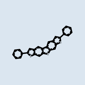 c1ccc(-c2cc3cc4c(cc3s2)sc2cc3sc(-c5ccccc5)cc3cc24)cc1